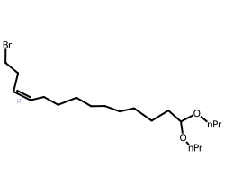 CCCOC(CCCCCCCCC/C=C\CCBr)OCCC